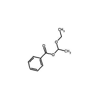 CCOC(C)OC(=O)c1ccccc1